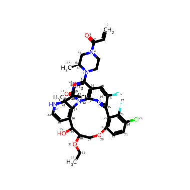 C=CC(=O)N1CCN(c2nc(=O)n3c4nc(c(F)cc24)-c2c(ccc(Cl)c2F)OCC(OCC)C(O)C2=C3C(C)(C(C)C)NC=C2)[C@@H](C)C1